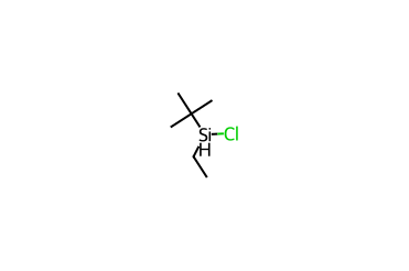 CC[SiH](Cl)C(C)(C)C